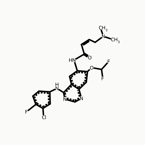 CN(C)C/C=C\C(=O)Nc1cc2c(Nc3ccc(F)c(Cl)c3)ncnc2cc1OC(F)F